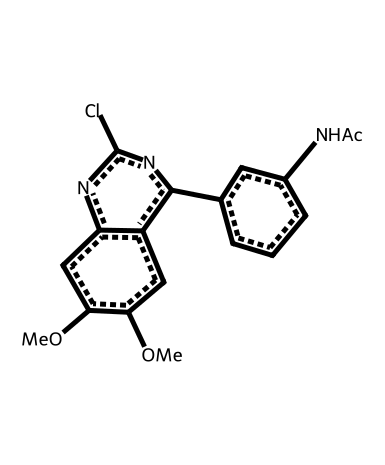 COc1cc2nc(Cl)nc(-c3cccc(NC(C)=O)c3)c2cc1OC